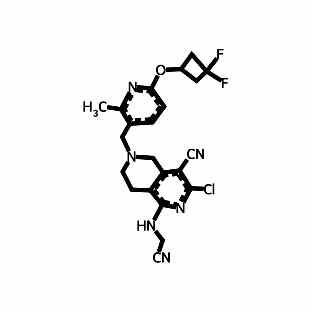 Cc1nc(OC2CC(F)(F)C2)ccc1CN1CCc2c(NCC#N)nc(Cl)c(C#N)c2C1